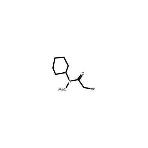 CON(C(=O)CC(C)=O)C1CCCCC1